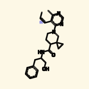 C/C=C\c1c(C)ncnc1N1CCC(C(=O)NC(CO)Cc2ccccc2)C2(CC2)C1